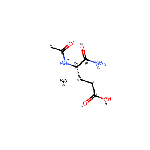 CC(=O)N[C@@H](CCC(=O)O)C(N)=O.[Na]